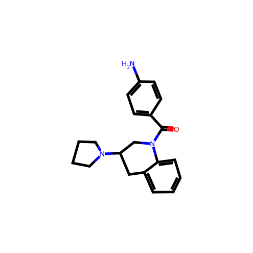 Nc1ccc(C(=O)N2CC(N3CCCC3)Cc3ccccc32)cc1